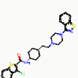 O=C(N[C@H]1CC[C@H](CCN2CCN(c3nsc4ccccc34)CC2)CC1)c1sc2ccccc2c1Cl